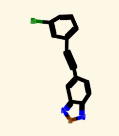 Brc1cccc(C#Cc2ccc3nsnc3c2)c1